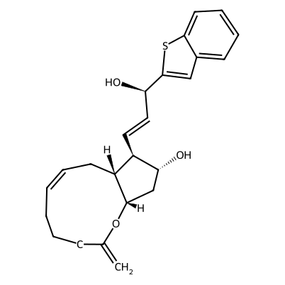 C=C1CCC/C=C\C[C@@H]2[C@@H](/C=C/[C@@H](O)c3cc4ccccc4s3)[C@H](O)C[C@@H]2O1